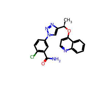 C[C@@H](Oc1ccnc2ccccc12)c1cn(-c2ccc(Cl)c(C(N)=O)c2)nn1